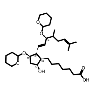 CC(C)=CCC(C)[C@@H](C=C[C@@H]1[C@@H](CCCCCCC(=O)O)[C@@H](O)C[C@H]1OC1CCCCO1)OC1CCCCO1